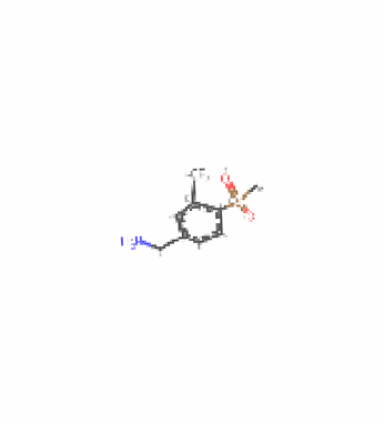 CS(=O)(=O)c1ccc(CN)cc1C(F)(F)F